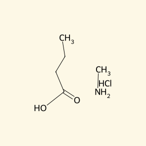 CCCC(=O)O.CN.Cl